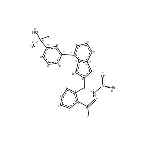 C=C(C)c1ccccc1[C@@H](N[S@@+]([O-])C(C)(C)C)c1cc2cccc(-c3cc([C@](C)(O)C(F)(F)F)ccn3)c2s1